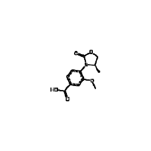 COc1cc(C(=O)O)ccc1N1C(=O)OC[C@H]1C